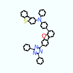 c1ccc(-c2nc(-c3ccccc3)nc(-c3ccc4c(c3)oc3c(-c5ccc(N(c6ccccc6)c6ccc7sc8ccccc8c7c6)cc5)cccc34)n2)cc1